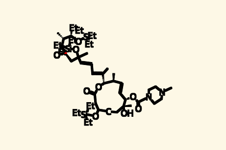 CC[C@H](O[Si](CC)(CC)CC)[C@@H](C)[C@H]1O[C@@H]1CC(C)(/C=C/C=C(\C)[C@H]1OC(=O)CC(O[Si](CC)(CC)CC)CC[C@@](C)(O)[C@@H](OC(=O)N2CCN(C)CC2)/C=C/[C@@H]1C)O[Si](CC)(CC)CC